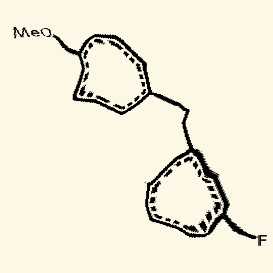 COc1ccc(Cc2[c]ccc(F)c2)cc1